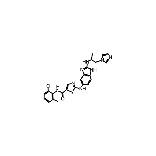 Cc1cccc(Cl)c1NC(=O)c1cnc(Nc2ccc3[nH]c(NC(C)Cn4ccnc4)nc3c2)s1